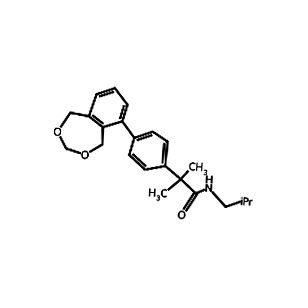 CC(C)CNC(=O)C(C)(C)c1ccc(-c2cccc3c2COCOC3)cc1